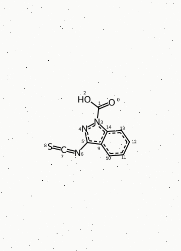 O=C(O)n1nc(N=C=S)c2ccccc21